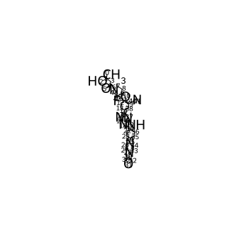 CC(O)CC(=O)N1CCC(Oc2ccc(-c3ncnc(Nc4ccc(N5CCN(C6COC6)CC5)cc4)n3)cc2C#N)C(F)C1